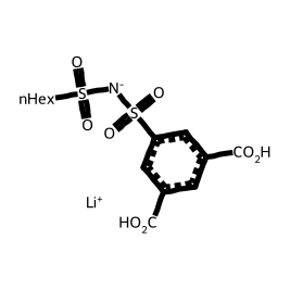 CCCCCCS(=O)(=O)[N-]S(=O)(=O)c1cc(C(=O)O)cc(C(=O)O)c1.[Li+]